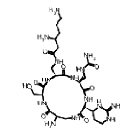 N=C1NCCC([C@@H]2NC(=O)/C(=C/NC(N)=O)NC(=O)[C@H](CNC(=O)C[C@@H](N)CCCN)NC(=O)[C@H](CO)NC(=O)C(N)CNC2=O)N1